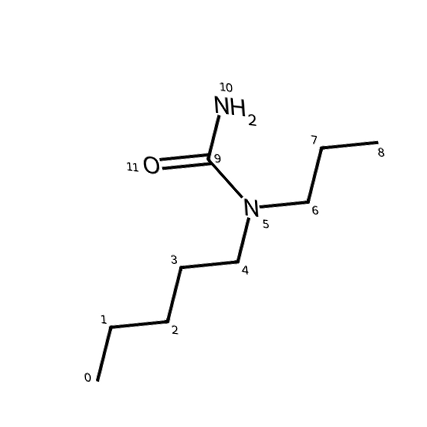 CCCCCN(CCC)C(N)=O